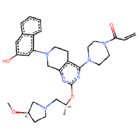 C=CC(=O)N1CCN(c2nc(O[C@H](C)CN3CC[C@@H](OC)C3)nc3c2CCN(c2cc(O)cc4ccccc24)C3)CC1